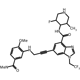 CNC(=O)c1ccc(OC)c(NCC#Cc2cc(C(=O)NC3C(C)CNCC3F)c3ncn(CC(F)(F)F)c3c2)c1